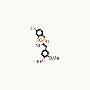 CCOc1ccc(/C=C(\C#N)S(=O)(=O)Cc2ccc(Cl)cc2Cl)cc1OC